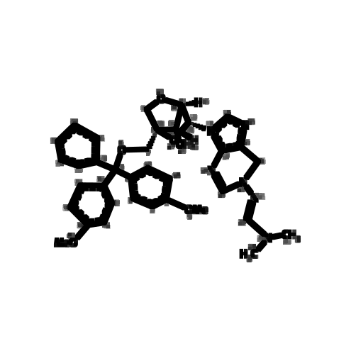 COc1ccc(C(OC[C@@]23CO[C@@H]([C@H](n4cnc5c4N=CN(N=CN(C)C)C5)O2)[C@@H]3O)(c2ccccc2)c2ccc(OC)cc2)cc1